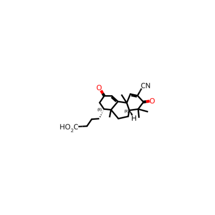 CC1(C)C(=O)C(C#N)=CC2(C)C3=CC(=O)C[C@@H](CCCC(=O)O)C3(C)CC[C@@H]12